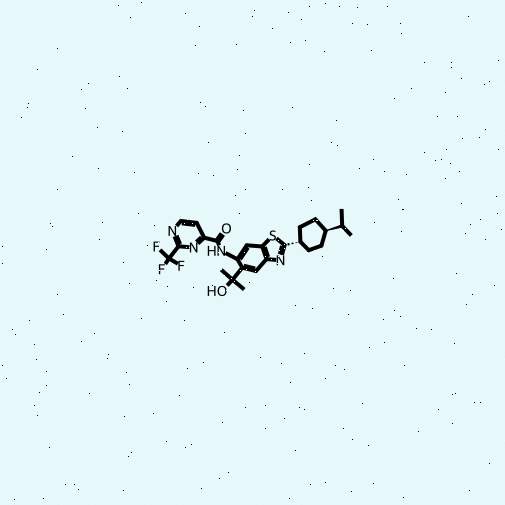 CC(C)[C@H]1CC[C@H](c2nc3cc(C(C)(C)O)c(NC(=O)c4ccnc(C(F)(F)F)n4)cc3s2)CC1